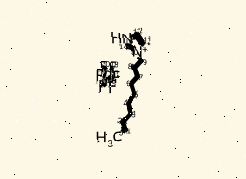 CCCCCCCCCC[n+]1cc[nH]c1.F[P-](F)(F)(F)(F)F